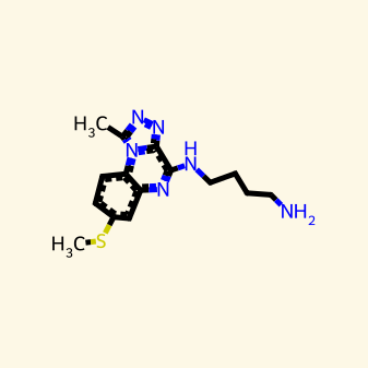 CSc1ccc2c(c1)nc(NCCCCN)c1nnc(C)n12